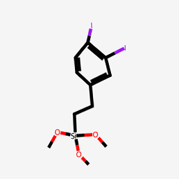 CO[Si](CCc1ccc(I)c(I)c1)(OC)OC